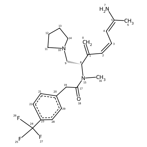 C=C(/C=C\C=C(/C)N)[C@@H](CN1CCCC1)N(C)C(=O)Cc1ccc(C(F)(F)F)cc1